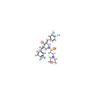 O=C1/C(=C/c2ccc(F)c(F)c2)CN([S+]([O-])CCN2CCOCC2)C/C1=C\c1ccc(F)c(F)c1